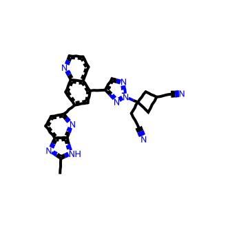 Cc1nc2ccc(-c3cc(-c4cnn(C5(CC#N)CC(C#N)C5)n4)c4cccnc4c3)nc2[nH]1